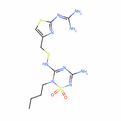 CCCCN1C(NSCc2csc(N=C(N)N)n2)=NC(N)=NS1(=O)=O